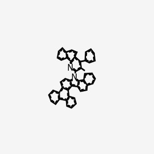 Cc1c(-n2c3ccc4c5ccccc5c5ccccc5c4c3c3ccc4ccccc4c32)nc2c(ccc3ccccc32)c1-c1ccccc1